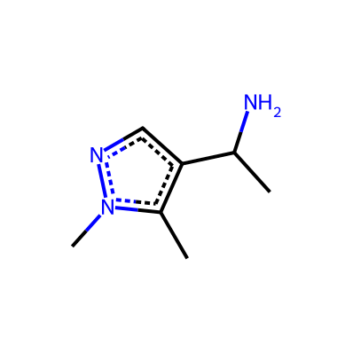 Cc1c(C(C)N)cnn1C